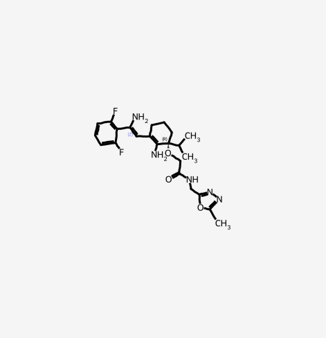 Cc1nnc(CNC(=O)CO[C@@]2(C(C)C)CCCC(/C=C(\N)c3c(F)cccc3F)=C2N)o1